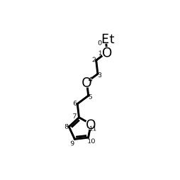 CCOCCOCCc1ccco1